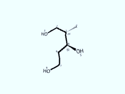 C[C@@H](CO)[C@@H](O)CCO